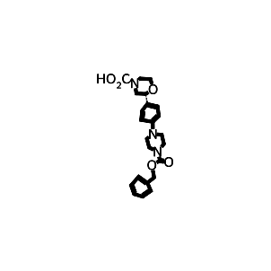 O=C(O)N1CCO[C@H](c2ccc(N3CCN(C(=O)OCc4ccccc4)CC3)cc2)C1